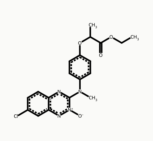 CCOC(=O)C(C)Oc1ccc(N(C)c2nc3ccc(Cl)cc3n[n+]2[O-])cc1